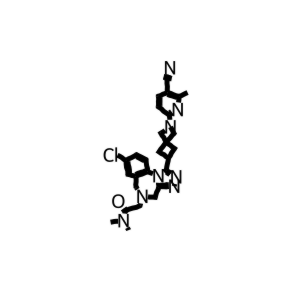 Cc1nc(N2CC3(CC(c4nnc5n4-c4ccc(Cl)cc4CN(CC(=O)N(C)C)C5)C3)C2)ccc1C#N